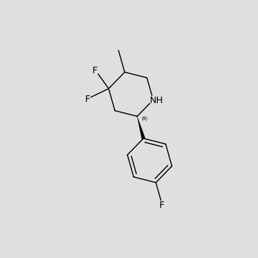 CC1CN[C@@H](c2ccc(F)cc2)CC1(F)F